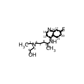 CCN(CCO)CCCC(C)Nc1ccnc2cc(F)ccc12